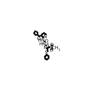 CS(=O)(=O)c1sc(NC(=O)Nc2ncccc2C(=O)C2CCCC2)nc1CSc1ccccc1